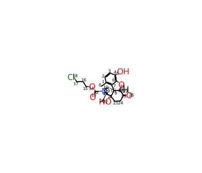 Cc1ccc(O)c2c1[C@]13CCN(C(=O)OCCCCl)[C@H](C)C1(O)CCC(=O)[C@@H]3O2